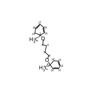 CC1(OCCCCOC2(C)C=CC=CC2)C=CC=CC1